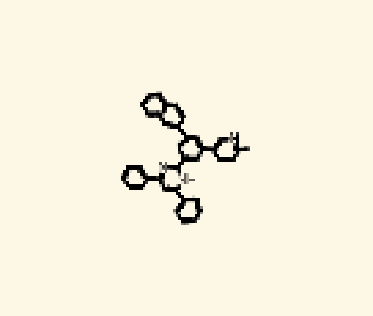 Cc1ccc(-c2cc(-c3ccc4ccccc4c3)cc(C3N=C(c4ccccc4)C=C(c4ccccc4)N3)c2)cn1